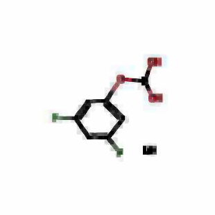 OB(O)Oc1cc(F)cc(F)c1.[LiH]